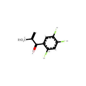 C=C(C(=O)OCC)C(=O)c1cc(F)c(F)cc1F